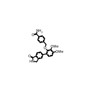 COc1ccc(-c2ccc3c(c2)CNC3=O)c(OCc2ccc(C(N)=O)cc2)c1OC